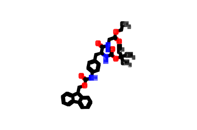 CCOC(=O)CNC(=O)[C@H](Cc1ccc(NC(=O)OCC2c3ccccc3-c3ccccc32)cc1)NC(=O)OC(C)(C)C